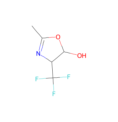 CC1=NC(C(F)(F)F)C(O)O1